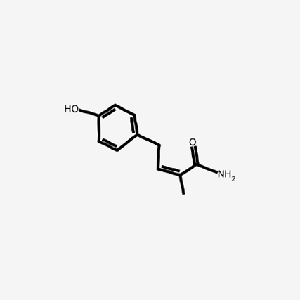 CC(=CCc1ccc(O)cc1)C(N)=O